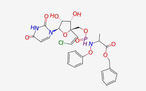 CC(C(=O)OCc1ccccc1)N(Oc1ccccc1)[PH](=O)OC[C@@]1(C=CCl)O[C@@H](n2ccc(=O)[nH]c2=O)[C@H](O)[C@@H]1O